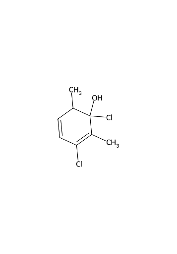 CC1=C(Cl)C=CC(C)C1(O)Cl